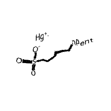 CCCCCCCCS(=O)(=O)[O-].[Hg+]